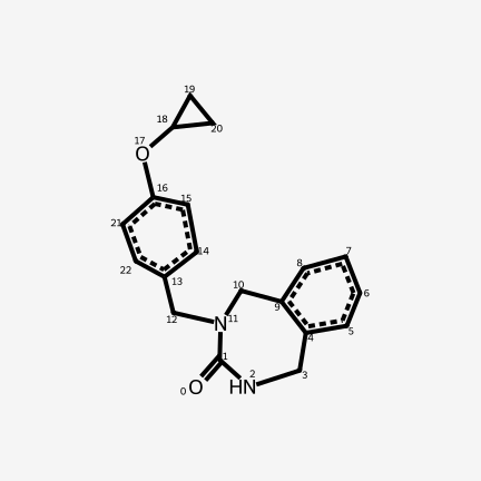 O=C1NCc2ccccc2CN1Cc1ccc(OC2CC2)cc1